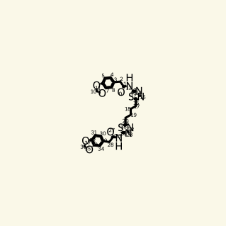 O=C(Cc1ccc2c(c1)OCO2)Nc1nnc(CCCCc2nnc(NC(=O)Cc3ccc4c(c3)OCO4)s2)s1